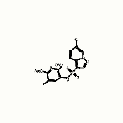 COc1nc(OC)c(NS(=O)(=O)c2cnn3cc(Cl)ccc23)cc1F